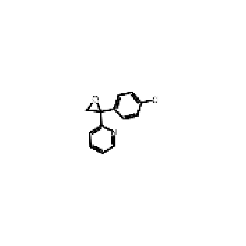 Clc1ccc(C2(c3ccccn3)CO2)cc1